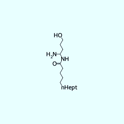 CCCCCCCCCCCC(=O)NC(N)CCCO